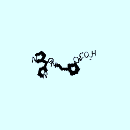 O=C(O)COc1cccc(CC=NOC(c2cccnc2)c2cccnc2)c1